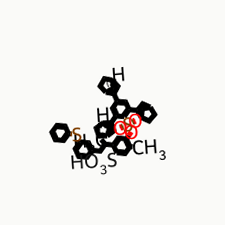 Cc1cc(S(=O)(=O)O)c(C(C)Cc2cccc(Sc3ccccc3)c2)cc1OS(=O)(=O)c1c(C2CC3CCC2C3)cc(C2C[C@H]3CCC2C3)cc1C1CC2CC[C@@H]1C2